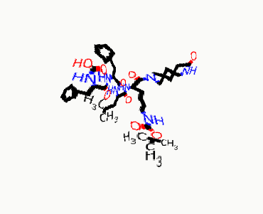 CC(C)CC(NC(=O)C(Cc1ccccc1)NC(=O)C(Cc1ccccc1)NC(=O)O)C(=O)NC(CCCCNC(=O)OC(C)(C)C)C(=O)N1CC2(C1)CC1(CNC(=O)C1)C2